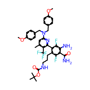 COc1ccc(CN(Cc2ccc(OC)cc2)c2cc(C)c(C(F)(F)F)c(-c3c(F)c(N)c(C(N)=O)c(F)c3CCCNC(=O)OC(C)(C)C)n2)cc1